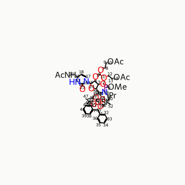 COP(OC1C(OC(OCCOC(C)=O)OCCOC(C)=O)[C@H](N2C=CC(NC(C)=O)NC2=O)O[C@@H]1CO[Si](OC(c1ccccc1)c1ccccc1)(O[Si](C)(C)C)O[Si](C)(C)C)N(C(C)C)C(C)C